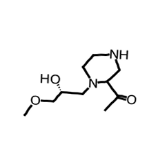 COC[C@H](O)CN1CCNCC1C(C)=O